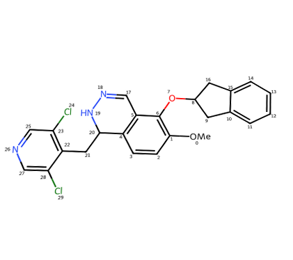 COc1ccc2c(c1OC1Cc3ccccc3C1)C=NNC2Cc1c(Cl)cncc1Cl